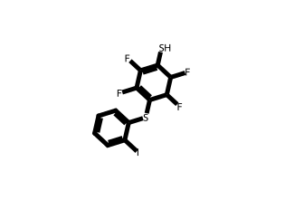 FC1=C(S)C(F)C(F)C(Sc2ccccc2I)=C1F